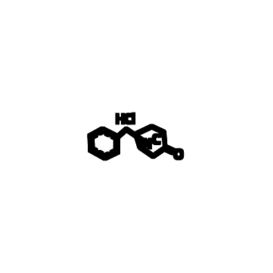 Cl.O=C1CC2CCC1CN2Cc1ccccc1